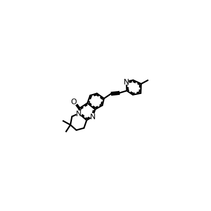 Cc1ccc(C#Cc2ccc3c(=O)n4c(nc3c2)CCC(C)(C)C4)nc1